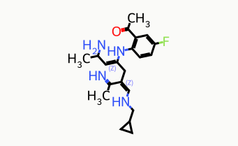 CC(=N)/C(=C\NCC1CC1)C/C(=C/C(C)N)Nc1ccc(F)cc1C(C)=O